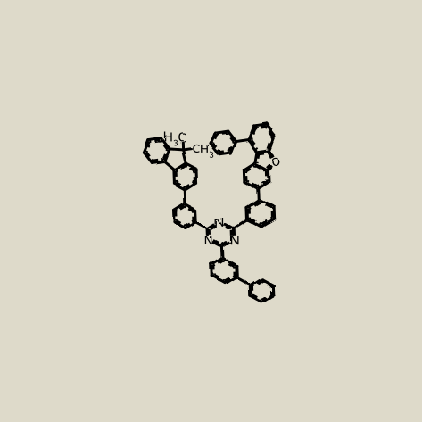 CC1(C)c2ccccc2-c2cc(-c3cccc(-c4nc(-c5cccc(-c6ccccc6)c5)nc(-c5cccc(-c6ccc7c(c6)oc6cccc(-c8ccccc8)c67)c5)n4)c3)ccc21